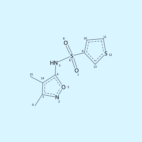 Cc1noc(NS(=O)(=O)c2ccsc2)c1C